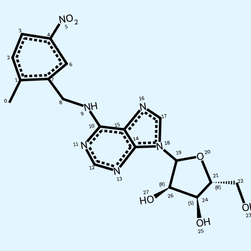 Cc1ccc([N+](=O)[O-])cc1CNc1ncnc2c1ncn2C1O[C@H](CO)[C@@H](O)[C@H]1O